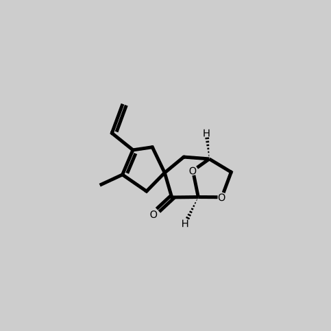 C=CC1=C(C)CC2(C1)C[C@H]1CO[C@H](O1)C2=O